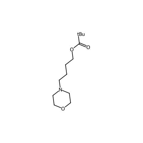 CC(C)(C)C(=O)OCCCCN1CCOCC1